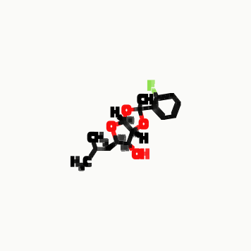 CC(C)C[C@H]1O[C@@H]2OC(C)(c3ccccc3F)O[C@@H]2[C@H]1O